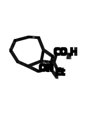 CCC(C(=O)O)C1(O)C2CCCCCC1CN(C)C2